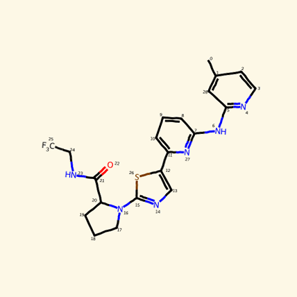 Cc1ccnc(Nc2cccc(-c3cnc(N4CCCC4C(=O)NCC(F)(F)F)s3)n2)c1